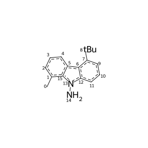 Cc1cccc2c3c(C(C)(C)C)cccc3n(N)c12